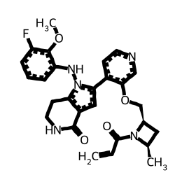 C=CC(=O)N1[C@@H](COc2cnccc2-c2cc3c(n2Nc2cccc(F)c2OC)CCNC3=O)C[C@H]1C